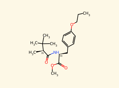 CCCOc1ccc(C[C@H](NC(=O)[C@@H](C)C(C)(C)C)C(=O)OC)cc1